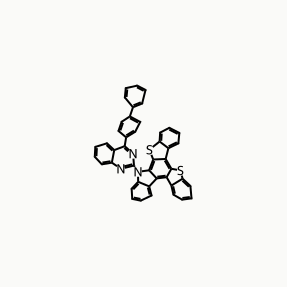 c1ccc(-c2ccc(-c3nc(-n4c5ccccc5c5c6c7ccccc7sc6c6c7ccccc7sc6c54)nc4ccccc34)cc2)cc1